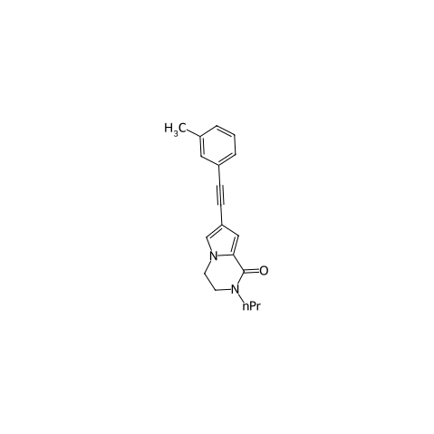 CCCN1CCn2cc(C#Cc3cccc(C)c3)cc2C1=O